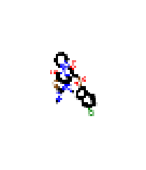 C/N=c1\sc2c(n1C)CN([N+]1(C(=O)CCS(=O)(=O)c3ccc4cc(Cl)ccc4c3)CCCCC1)C2=O